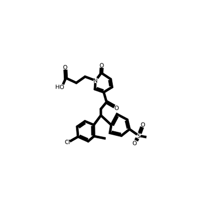 Cc1cc(Cl)ccc1C(CC(=O)c1ccc(=O)n(CCC(=O)O)c1)c1ccc(S(C)(=O)=O)cc1